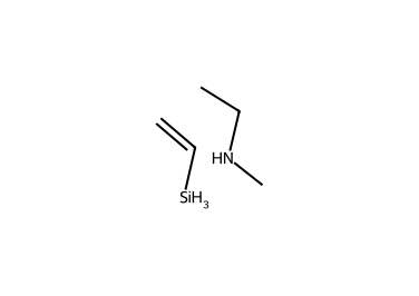 C=C[SiH3].CCNC